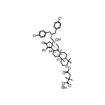 CC(C)C1=C2[C@H]3CC[C@@H]4[C@@]5(C)CC[C@H](OC(=O)CC(C)(C)C(=O)OC(C)(C)C)C(C)(C)C5CC[C@@]4(C)[C@]3(C)CC[C@@]2([C@@H](O)CN(Cc2ccc(Cl)cc2)Cc2ccc(Cl)cc2)CC1=O